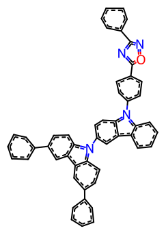 c1ccc(-c2ccc3c(c2)c2cc(-c4ccccc4)ccc2n3-c2ccc3c(c2)c2ccccc2n3-c2ccc(-c3nc(-c4ccccc4)no3)cc2)cc1